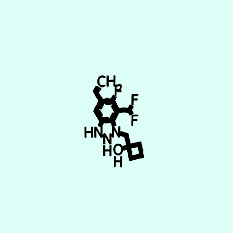 C=Cc1cc2c(c(C(F)F)c1F)N(CC1(O)CCC1)NN2